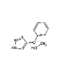 CO.c1ccc(Oc2c[nH]nn2)cc1